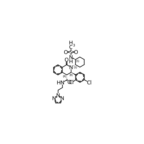 CS(=O)(=O)N[C@H]1CCCC[C@@H]1N1C(=O)c2ccccc2[C@@H](C(=O)NCCn2nccn2)[C@@H]1c1ccc(Cl)cc1Cl